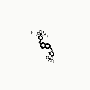 CC(C)(C)C1CCC(=Cc2ccc3cc(CN4CCC(OC(=O)O)CC4)ccc3c2)CC1